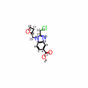 COC(=O)c1ccc2c(c1)nc(CCl)n2C[C@@H]1CCO1